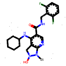 CCN1c2ncc(C(=O)NCc3c(F)cccc3F)c(NC3CCCCC3)c2CN1O